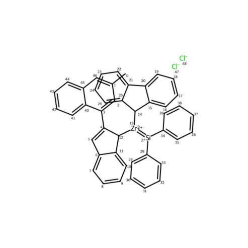 Cc1cc(C2=Cc3ccccc3[CH]2[Zr+2]([CH]2c3ccccc3-c3ccccc32)=[Si](c2ccccc2)c2ccccc2)c2ccccc2c1.[Cl-].[Cl-]